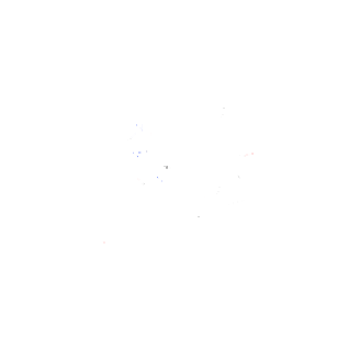 C=CCOC(=O)c1c(C)c(OC)cc(O[Si](C)(C)C(C)(C)C(C)C)c1CSC[C@H](NC(=O)CCC(CO)CO)c1nc(C)no1